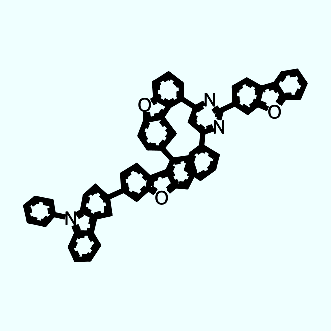 c1ccc(-c2cc(-c3cccc4oc5ccc(-c6cccc7oc8cc(-c9ccc%10c(c9)c9ccccc9n%10-c9ccccc9)ccc8c67)cc5c34)nc(-c3ccc4c(c3)oc3ccccc34)n2)cc1